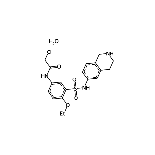 CCOc1ccc(NC(=O)CCl)cc1S(=O)(=O)Nc1ccc2c(c1)CCNC2.O